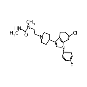 CNC(=O)N(C)CCN1CCC(c2cn(-c3ccc(F)cc3)c3cc(Cl)ccc23)CC1